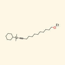 CCOCCCCCCCCCCC#C[Si](C)(C)C1CCCCC1